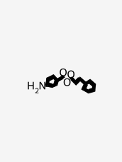 Nc1ccc(C(=O)OC(=O)/C=C/c2ccccc2)cc1